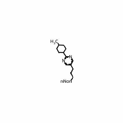 CCCCCCCCCCCCc1cnc(C2CCC(C)CC2)nc1